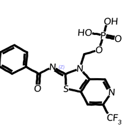 O=C(/N=c1\sc2cc(C(F)(F)F)ncc2n1COP(=O)(O)O)c1ccccc1